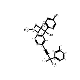 CC(C)c1ccc(C(O)(c2cncc(C#CC(C)(O)c3cccc(F)c3)c2)C2(C)CN(C)C2)cc1